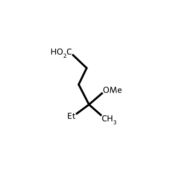 CCC(C)(CCC(=O)O)OC